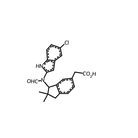 CC1(C)Cc2ccc(CC(=O)O)cc2C1N(C=O)c1cc2cc(Cl)ccc2[nH]1